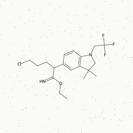 CCOC(=N)C(CCCCl)c1ccc2c(c1)C(C)(C)CN2CC(F)(F)F